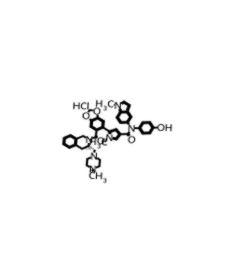 CN1CCN(C[C@@H]2Cc3ccccc3CN2C(=O)c2cc3c(cc2-c2cc(C(=O)N(c4ccc(O)cc4)c4ccc5c(ccn5C)c4)cn2C)OCO3)CC1.Cl